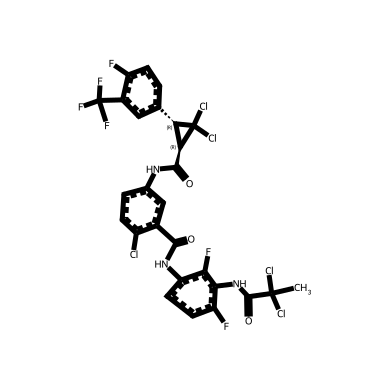 CC(Cl)(Cl)C(=O)Nc1c(F)ccc(NC(=O)c2cc(NC(=O)[C@H]3[C@H](c4ccc(F)c(C(F)(F)F)c4)C3(Cl)Cl)ccc2Cl)c1F